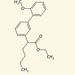 CCCCC(C(=O)OCC)c1cccc(-c2ccccc2OC)c1